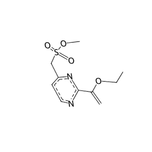 C=C(OCC)c1nccc(CS(=O)(=O)OC)n1